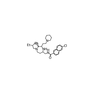 CCC(CN1CCC(CNC(=O)c2ccc3cc(Cl)ccc3c2)NC(CCN2CCCCC2)C1=O)C(C)C